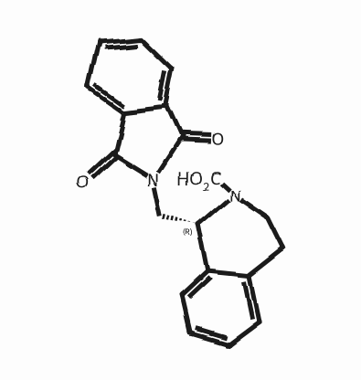 O=C1c2ccccc2C(=O)N1C[C@H]1c2ccccc2CCN1C(=O)O